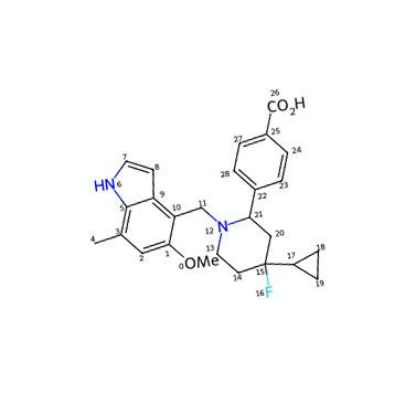 COc1cc(C)c2[nH]ccc2c1CN1CCC(F)(C2CC2)CC1c1ccc(C(=O)O)cc1